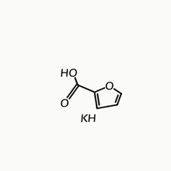 O=C(O)c1ccco1.[KH]